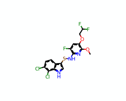 COc1nc(NSc2c[nH]c3c(Cl)c(Cl)ccc23)c(F)cc1OCC(F)F